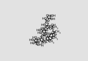 CC(CCC(OC1OC(COC(CO)OC(CO)C(O)CO)C(O)C(O)C1OC1OC(CO)C(O)C(O)C1O)C(C)(C)O)C1CCC2(C)C3CC=C4C(CCC(OC5OC(CO)C(OC6OC(CO)C(O)C(O)C6O)C(O)C5O)C4(C)C)C3(C)CCC12C